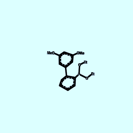 CCOP(OCC)c1ccccc1-c1cc(OC)cc(OC)c1